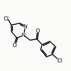 O=C(Cn1ncc(Cl)cc1=O)c1ccc(Cl)cc1